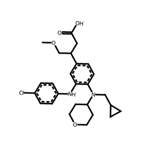 COCC(CC(=O)O)c1ccc(N(CC2CC2)C2CCOCC2)c(Nc2ccc(Cl)cc2)c1